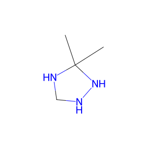 CC1(C)NCNN1